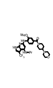 COc1cc(C(=O)N2CCC(N3CCOCC3)CC2)ccc1Nc1cc(NC(C)C)c2c(C(F)(F)F)c[nH]c2n1